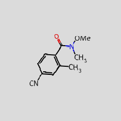 [C-]#[N+]c1ccc(C(=O)N(C)OC)c(C)c1